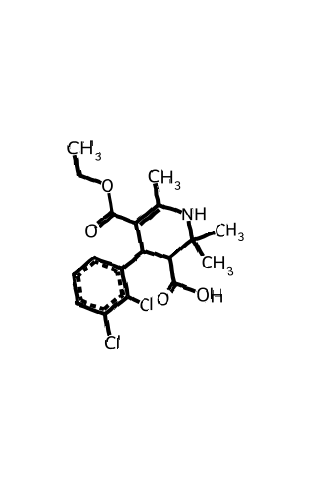 CCOC(=O)C1=C(C)NC(C)(C)C(C(=O)O)C1c1cccc(Cl)c1Cl